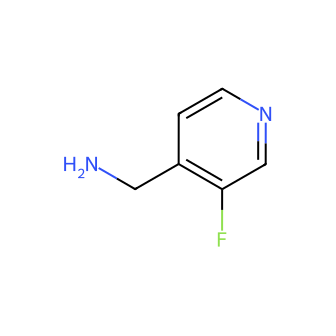 NCc1ccncc1F